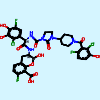 O=C(O)c1c(F)ccc2c1OB(O)[C@@H](NC(=O)[C@@H](NC(=O)N1CCN(C3CCN(C(=O)c4c(F)ccc(O)c4Cl)CC3)C1=O)c1cc(F)c(O)c(O)c1Cl)C2